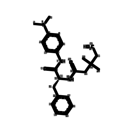 CN(C)c1ccc(NC(=O)[C@@H](Cc2ccccc2)NC(=O)CC(C)(C)CC(=O)O)cc1